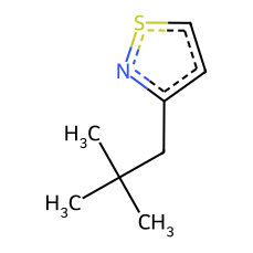 CC(C)(C)Cc1ccsn1